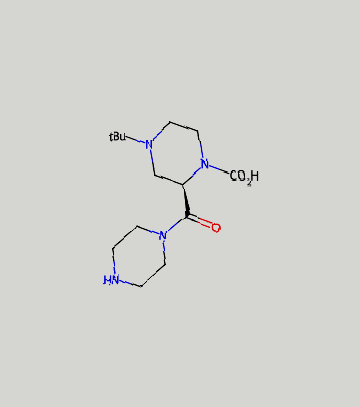 CC(C)(C)N1CCN(C(=O)O)[C@@H](C(=O)N2CCNCC2)C1